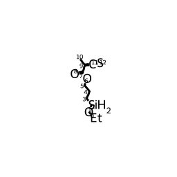 CCO[SiH2]CCCOC(=O)C(C)=C=S